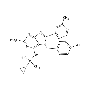 Cc1cccc(-c2nc3nc(C(=O)O)nc(NC(C)(C)C4CC4)c3n2Cc2ccc(Cl)cc2)c1